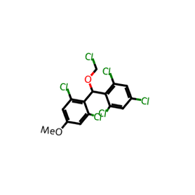 COc1cc(Cl)c(C(OCCl)c2c(Cl)cc(Cl)cc2Cl)c(Cl)c1